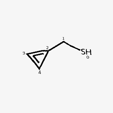 SCC1=C=C1